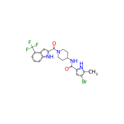 Cc1[nH]c(C(=O)NC2CCN(C(=O)c3cc4c(C(F)(F)F)cccc4[nH]3)CC2)cc1Br